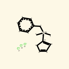 [CH3][Ti+3]([CH3])([CH2]c1ccccc1)[C]1=CC=CC1.[Cl-].[Cl-].[Cl-]